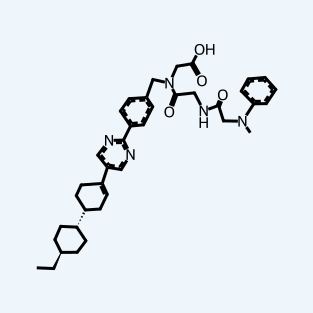 CC[C@H]1CC[C@H](C2CC=C(c3cnc(-c4ccc(CN(CC(=O)O)C(=O)CNC(=O)CN(C)c5ccccc5)cc4)nc3)CC2)CC1